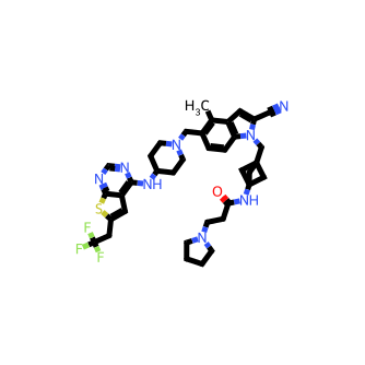 Cc1c(CN2CCC(Nc3ncnc4sc(CC(F)(F)F)cc34)CC2)ccc2c1cc(C#N)n2CC12CC(NC(=O)CCN3CCCC3)(C1)C2